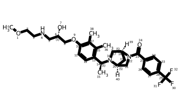 COCCNC[C@H](O)COc1ccc([C@H](C)N2C[C@@H]3C[C@H]2CN3C(=O)c2ccc(C(F)(F)F)cc2)c(C)c1C